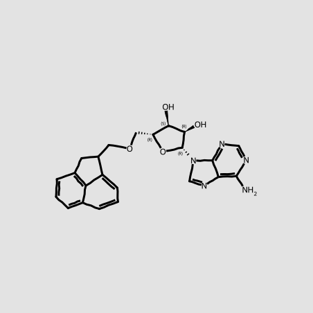 Nc1ncnc2c1ncn2[C@@H]1O[C@H](COCC2Cc3cccc4cccc2c34)[C@@H](O)[C@H]1O